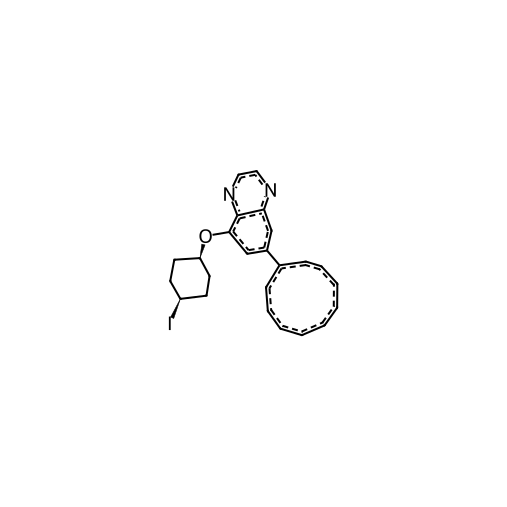 I[C@H]1CC[C@@H](Oc2cc(-c3ccccccccc3)cc3nccnc23)CC1